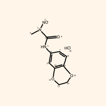 CN(N=O)C(=O)Nc1ccc2c(c1)OCCO2.Cl